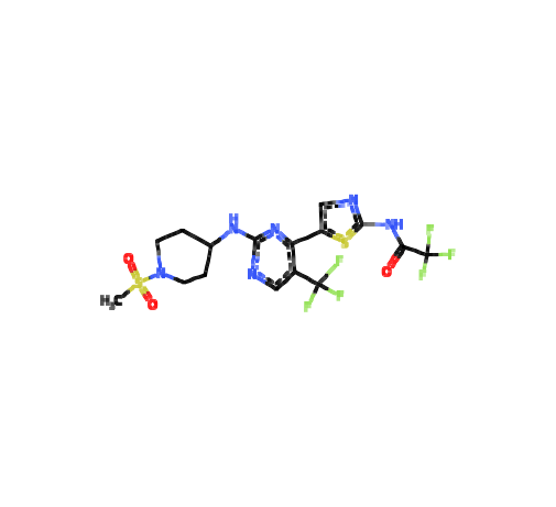 CS(=O)(=O)N1CCC(Nc2ncc(C(F)(F)F)c(-c3cnc(NC(=O)C(F)(F)F)s3)n2)CC1